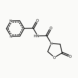 O=C1CN(C(=O)NC(=O)c2cncnc2)CO1